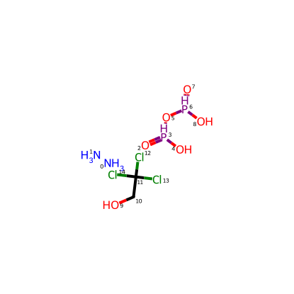 N.N.O=[PH](O)O[PH](=O)O.OCC(Cl)(Cl)Cl